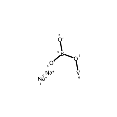 [Na+].[Na+].[O-]B([O-])[O][V]